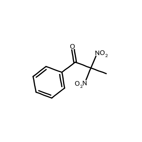 CC(C(=O)c1ccccc1)([N+](=O)[O-])[N+](=O)[O-]